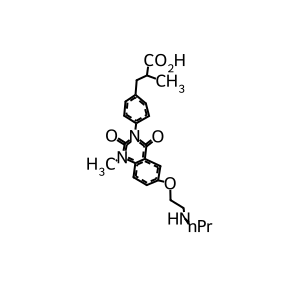 CCCNCCOc1ccc2c(c1)c(=O)n(-c1ccc(CC(C)C(=O)O)cc1)c(=O)n2C